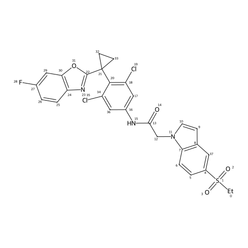 CCS(=O)(=O)c1ccc2c(ccn2CC(=O)Nc2cc(Cl)c(C3(c4nc5ccc(F)cc5o4)CC3)c(Cl)c2)c1